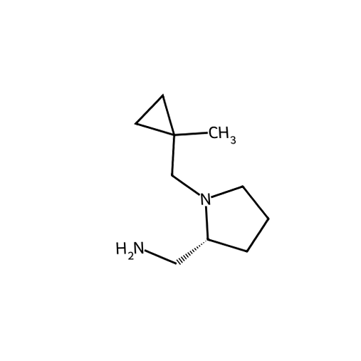 CC1(CN2CCC[C@@H]2CN)CC1